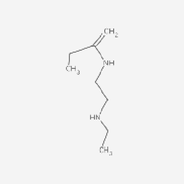 C=C(CC)NCCNCC